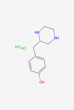 Cl.Cl.Oc1ccc(CC2CNCCN2)cc1